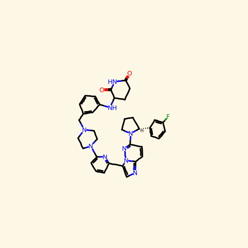 O=C1CCC(Nc2cccc(CN3CCN(c4cccc(-c5cnc6ccc(N7CCC[C@@H]7c7cccc(F)c7)nn56)n4)CC3)c2)C(=O)N1